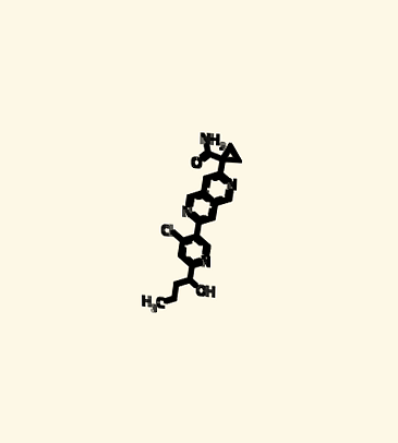 CCCC(O)c1cc(Cl)c(-c2cc3cnc(C4(C(N)=O)CC4)cc3cn2)cn1